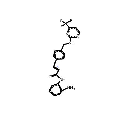 Nc1ccccc1NC(=O)/C=C/c1ccc(CNc2nccc(C(F)(F)F)n2)cc1